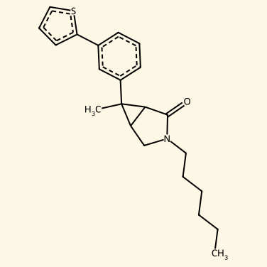 CCCCCCN1CC2C(C1=O)C2(C)c1cccc(-c2cccs2)c1